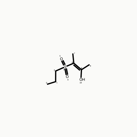 CCCS(=O)(=O)/C(C)=C(/C)O